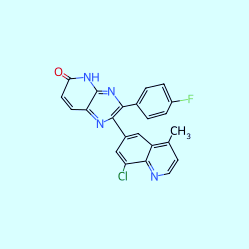 Cc1ccnc2c(Cl)cc(-c3nc4ccc(=O)[nH]c4nc3-c3ccc(F)cc3)cc12